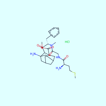 COC(=O)C12CC3CC(CC(N)(C3)C1C(=O)[C@H](Cc1ccccc1)N(C)C(=O)CNC(=O)[C@H](N)CCSC)C2.Cl